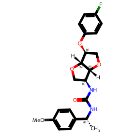 COc1ccc([C@@H](C)NC(=O)N[C@H]2CO[C@H]3[C@@H]2OC[C@@H]3Oc2ccc(F)cc2)cc1